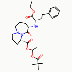 CCOC(=O)[C@H](CCc1ccccc1)N[C@H]1CCCN2CCC[C@@H](C(=O)OC(C)OC(=O)C(C)(C)C)N2C1=O